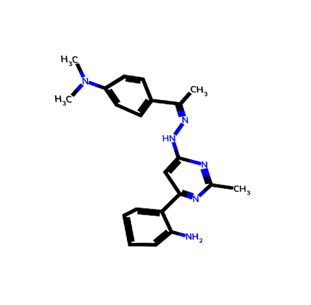 CC(=NNc1cc(-c2ccccc2N)nc(C)n1)c1ccc(N(C)C)cc1